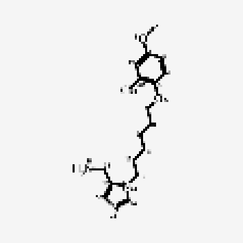 COc1ccc(OCCCCCCn2cncc2CN)c(Cl)c1